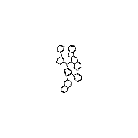 c1ccc(-c2cccc(N(c3ccc(-c4ccc5ccccc5c4)c(-c4ccccc4)c3)c3c4cnccc4cc4c3oc3ccccc34)c2)cc1